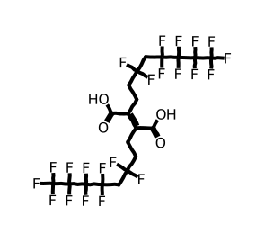 O=C(O)C(CCC(F)(F)CC(F)(F)C(F)(F)C(F)(F)C(F)(F)F)=C(CCC(F)(F)CC(F)(F)C(F)(F)C(F)(F)C(F)(F)F)C(=O)O